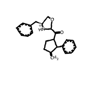 C=C1CCC(C(=O)C2N[C@@H](Cc3ccccc3)CO2)C1c1ccccc1